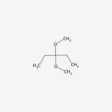 CCC(CC)(OC)OC